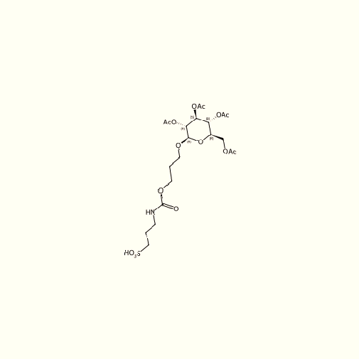 CC(=O)OC[C@H]1O[C@@H](OCCCOC(=O)NCCCS(=O)(=O)O)[C@H](OC(C)=O)[C@@H](OC(C)=O)[C@@H]1OC(C)=O